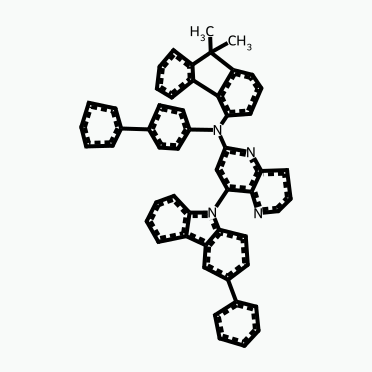 CC1(C)c2ccccc2-c2c(N(c3ccc(-c4ccccc4)cc3)c3cc(-n4c5ccccc5c5cc(-c6ccccc6)ccc54)c4ncccc4n3)cccc21